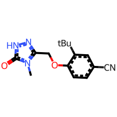 Cn1c(COc2ccc(C#N)cc2C(C)(C)C)n[nH]c1=O